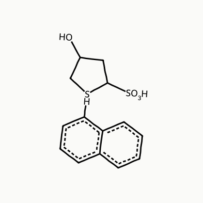 O=S(=O)(O)C1CC(O)C[SH]1c1cccc2ccccc12